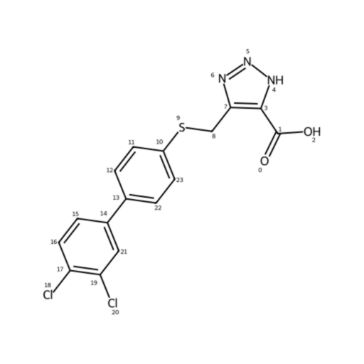 O=C(O)c1[nH]nnc1CSc1ccc(-c2ccc(Cl)c(Cl)c2)cc1